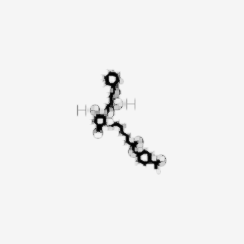 CC(=O)c1ccc(OC(=O)CCC/C=C\C[C@H]2C(=O)C[C@@H](O)[C@@H]2OCC(O)COc2ccccc2)cc1